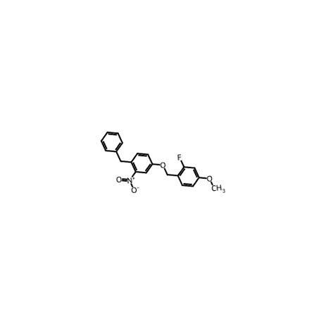 COc1ccc(COc2ccc(Cc3ccccc3)c([N+](=O)[O-])c2)c(F)c1